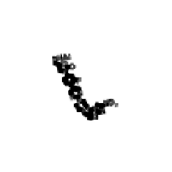 CC(=O)NCC1CN(c2ccc(-c3cnc(N4CCN(CC5(C)Cn6cc([N+](=O)[O-])nc6O5)CC4)nc3)c(F)c2)C(=O)O1